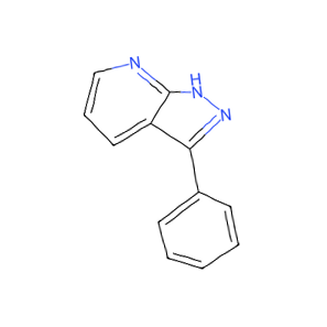 c1ccc(-c2n[nH]c3ncccc23)cc1